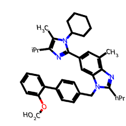 CCCc1nc2c(C)cc(-c3nc(C(C)C)c(C)n3C3CCCCC3)cc2n1Cc1ccc(-c2ccccc2OC(=O)O)cc1